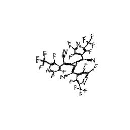 N#CC(=C1C(=C(C#N)c2c(F)c(F)nc(C(F)(F)F)c2F)C1=C(C#N)c1c(F)c(F)nc(C(F)(F)F)c1F)c1c(F)c(F)nc(C(F)(F)F)c1F